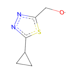 [O]Cc1nnc(C2CC2)s1